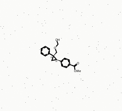 COC(=O)c1ccc([C@H]2C[C@]2(COCO)c2ccccc2)cc1